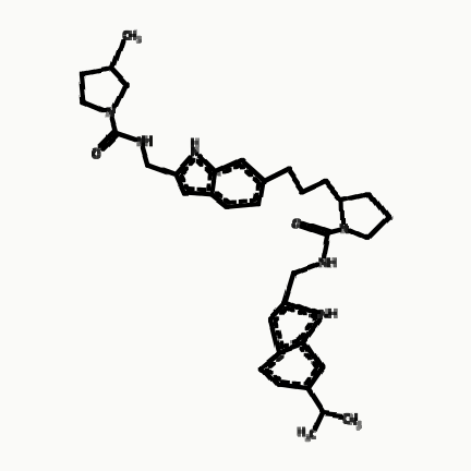 CC1CCN(C(=O)NCc2cc3ccc(CCCC4CCCN4C(=O)NCc4cc5ccc(C(C)C)cc5[nH]4)cc3[nH]2)C1